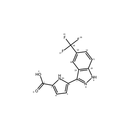 O=C(O)c1ccc(-c2n[nH]c3ccc(C(F)(F)F)cc23)[nH]1